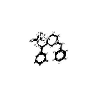 CS(=O)(=O)O[C@H](c1ccccc1)[C@@H]1CN(Cc2ccccc2)CCO1